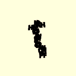 FC(F)c1nnc(-c2ccc(Cn3cc(-c4ccc(NC5=NCCN5)cc4)nn3)cc2)o1